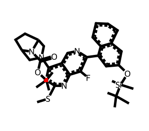 CSc1nc(N2CC3CCC(C2)N3C(=O)OC(C)(C)C)c2cnc(-c3cc(O[Si](C)(C)C(C)(C)C)cc4ccccc34)c(F)c2n1